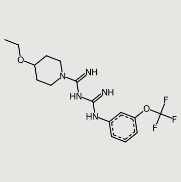 CCOC1CCN(C(=N)NC(=N)Nc2cccc(OC(F)(F)F)c2)CC1